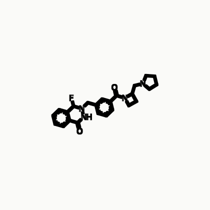 O=C1NN(Cc2cccc(C(=O)N3CCC3CN3CCCC3)c2)C(F)c2ccccc21